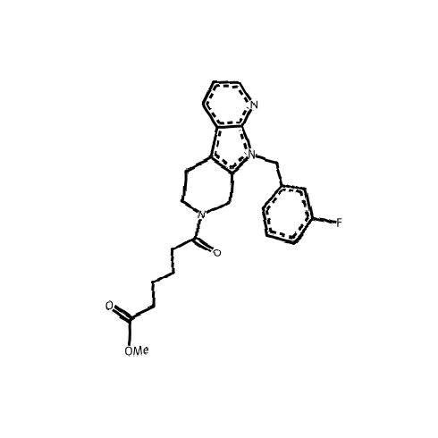 COC(=O)CCCCC(=O)N1CCc2c(n(Cc3cccc(F)c3)c3ncccc23)C1